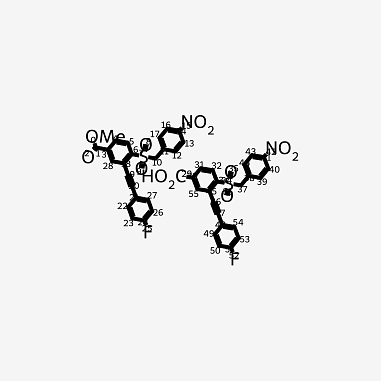 COC(=O)c1ccc(S(=O)(=O)Cc2ccc([N+](=O)[O-])cc2)c(C#Cc2ccc(F)cc2)c1.O=C(O)c1ccc(S(=O)(=O)Cc2ccc([N+](=O)[O-])cc2)c(C#Cc2ccc(F)cc2)c1